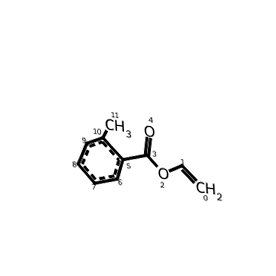 C=COC(=O)c1ccccc1C